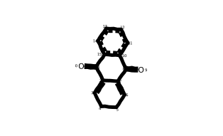 O=C1C2=CCCC=C2C(=O)c2ccccc21